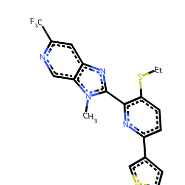 CCSc1ccc(-c2ccsc2)nc1-c1nc2cc(C(F)(F)F)ncc2n1C